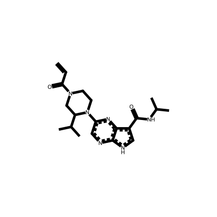 C=CC(=O)N1CCN(c2cnc3[nH]cc(C(=O)NC(C)C)c3n2)C(C(C)C)C1